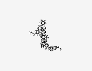 COc1ccn(-c2ccccc2)c(=O)c1C(=O)Nc1ccc(Oc2ccnc3cc(-c4cn(C)cn4)sc23)c(F)c1